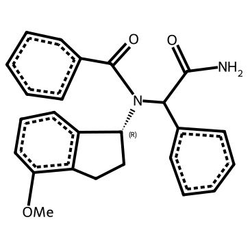 COc1cccc2c1CC[C@H]2N(C(=O)c1ccccc1)C(C(N)=O)c1ccccc1